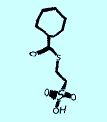 O=C(SCCS(=O)(=O)O)C1CCCCC1